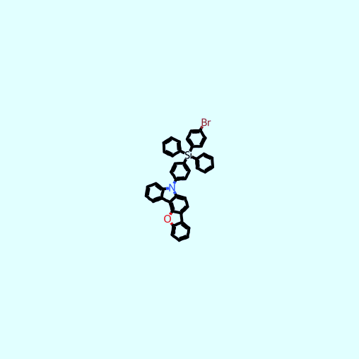 Brc1ccc([Si](c2ccccc2)(c2ccccc2)c2ccc(-n3c4ccccc4c4c5oc6ccccc6c5ccc43)cc2)cc1